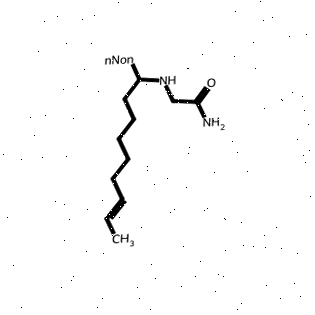 CC=CCCCCCC(CCCCCCCCC)NCC(N)=O